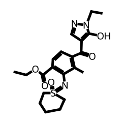 CCOC(=O)c1ccc(C(=O)c2cnn(CC)c2O)c(C)c1N=S1(=O)CCCCC1